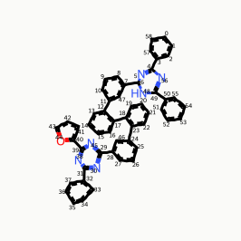 c1ccc(C2=NC(c3cccc(-c4ccccc4-c4ccccc4-c4cccc(-c5nc(-c6ccccc6)nc(-c6ccco6)n5)c4)c3)NC(c3ccccc3)=N2)cc1